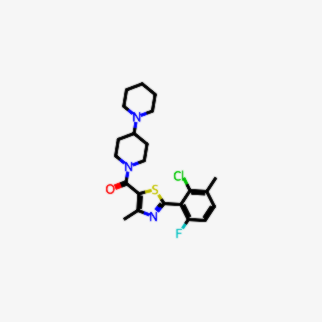 Cc1ccc(F)c(-c2nc(C)c(C(=O)N3CCC(N4CCCCC4)CC3)s2)c1Cl